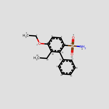 CCOc1ccc(S(N)(=O)=O)c(-c2ccccc2)c1CC